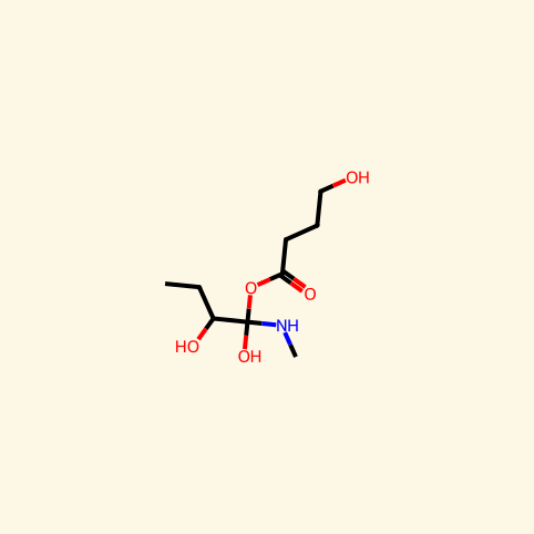 CCC(O)C(O)(NC)OC(=O)CCCO